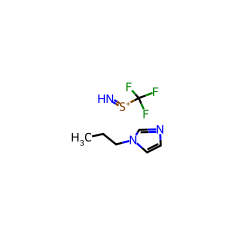 CCCn1ccnc1.N=[S+]C(F)(F)F